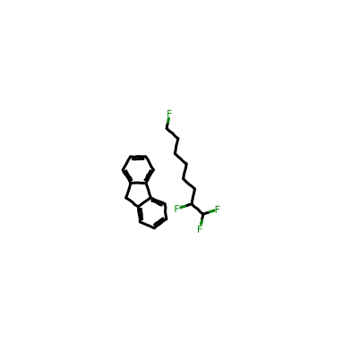 FCCCCCCC(F)C(F)F.c1ccc2c(c1)Cc1ccccc1-2